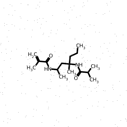 C=C(C)C(=O)NC(C)CC(C)(CCC)NC(=O)C(C)C